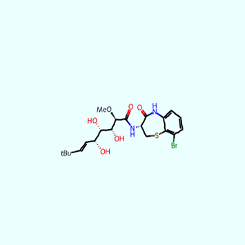 CO[C@@H](C(=O)N[C@H]1CSc2c(Br)cccc2NC1=O)[C@H](O)[C@@H](O)[C@H](O)/C=C/C(C)(C)C